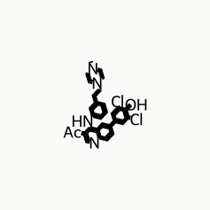 CC(=O)c1cnc2ccc(-c3cc(Cl)c(O)c(Cl)c3)cc2c1Nc1cccc(CCN2CCN(C)CC2)c1